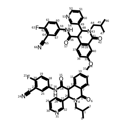 CC(C)CN1C(=O)c2ccccc2C(C(=O)Nc2ccc(F)c(C#N)c2)C1c1cccnc1.COc1ccc2c(c1)C(=O)N(CC(C)C)C(c1cccnc1)C2C(=O)Nc1ccc(F)c(C#N)c1